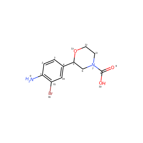 Nc1ccc(C2CN(C(=O)O)CCO2)cc1Br